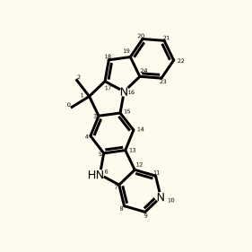 CC1(C)c2cc3[nH]c4ccncc4c3cc2-n2c1cc1ccccc12